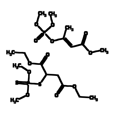 CCOC(=O)CC(SP(=S)(OC)OC)C(=O)OCC.COC(=O)/C=C(\C)OP(=O)(OC)OC